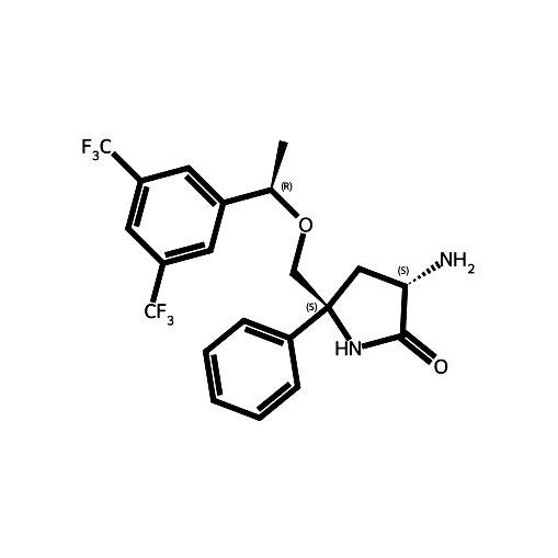 C[C@@H](OC[C@@]1(c2ccccc2)C[C@H](N)C(=O)N1)c1cc(C(F)(F)F)cc(C(F)(F)F)c1